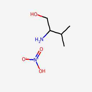 CC(C)C(N)CO.O=[N+]([O-])O